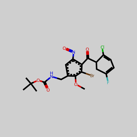 COc1c(CNC(=O)OC(C)(C)C)cc(N=O)c(C(=O)C2CC(F)=CC=C2Cl)c1Br